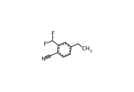 CCc1ccc(C#N)c(C(F)F)c1